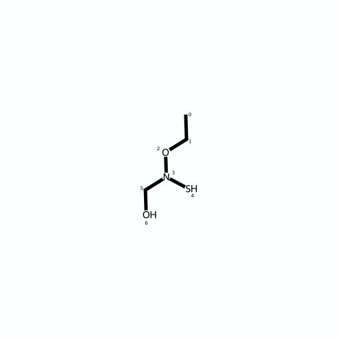 CCON(S)CO